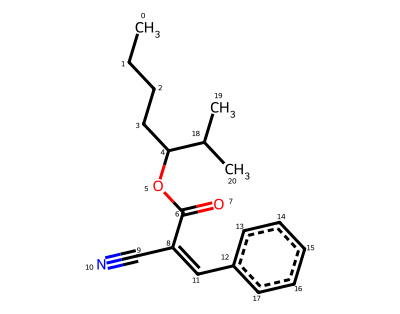 CCCCC(OC(=O)C(C#N)=Cc1ccccc1)C(C)C